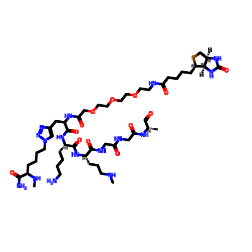 CNCCC[C@H](NC(=O)[C@H](CCCCN)NC(=O)C(Cc1cn(CCCCC(NC)C(N)=O)nn1)NC(=O)COCCOCCOCCNC(=O)CCCC[C@H]1SC[C@H]2NC(=O)N[C@H]21)C(=O)NCC(=O)NCC(=O)N[C@@H](C)C=O